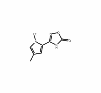 CCn1cc(C)cc1-c1noc(=O)[nH]1